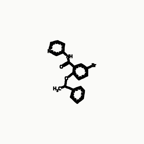 CC(Oc1ccc(Br)cc1C(=O)Nc1cccnc1)c1ccccc1